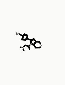 CC(CN(C)C)n1c(-c2ccc(Br)cc2)cc2c1CCSC2